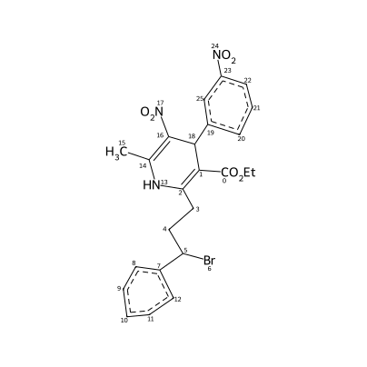 CCOC(=O)C1=C(CCC(Br)c2ccccc2)NC(C)=C([N+](=O)[O-])C1c1cccc([N+](=O)[O-])c1